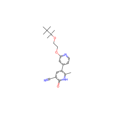 Cc1[nH]c(=O)c(C#N)cc1-c1ccnc(OCCO[Si](C)(C)C(C)(C)C)c1